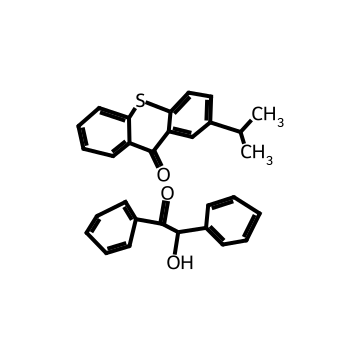 CC(C)c1ccc2sc3ccccc3c(=O)c2c1.O=C(c1ccccc1)C(O)c1ccccc1